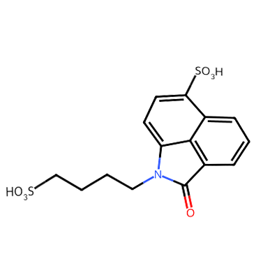 O=C1c2cccc3c(S(=O)(=O)O)ccc(c23)N1CCCCS(=O)(=O)O